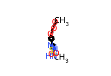 CNS(=O)(=O)c1nn2cc(-c3ccc(OCCOCCOC)cc3)nc2s1